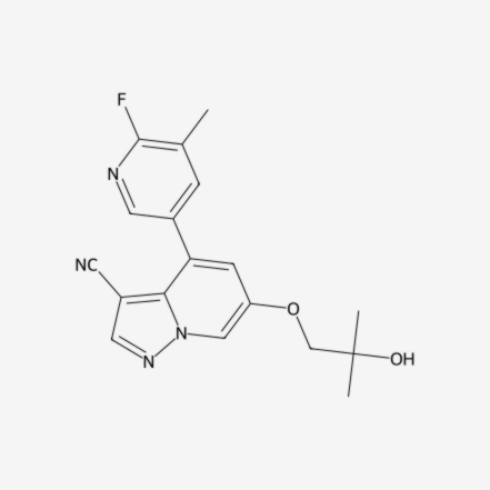 Cc1cc(-c2cc(OCC(C)(C)O)cn3ncc(C#N)c23)cnc1F